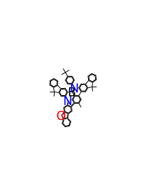 Cc1cc2c3c4c1c1cc5c(cc1n4-c1cc4c(cc1B3N(c1ccc(C(C)(C)C)cc1)c1cc3c(cc1-2)C(C)(C)c1ccccc1-3)-c1ccccc1C4(C)C)oc1ccccc15